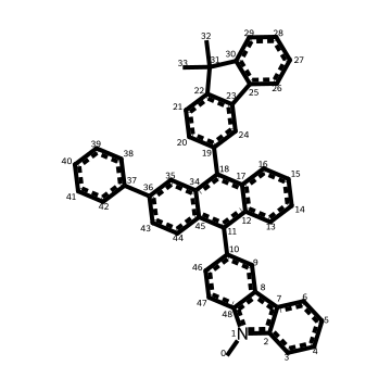 Cn1c2ccccc2c2cc(-c3c4ccccc4c(-c4ccc5c(c4)-c4ccccc4C5(C)C)c4cc(-c5ccccc5)ccc34)ccc21